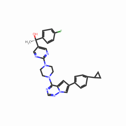 C[C@](O)(c1ccc(F)cc1)c1cnc(N2CCN(c3ncnn4cc(-c5ccc(C6CC6)cc5)cc34)CC2)nc1